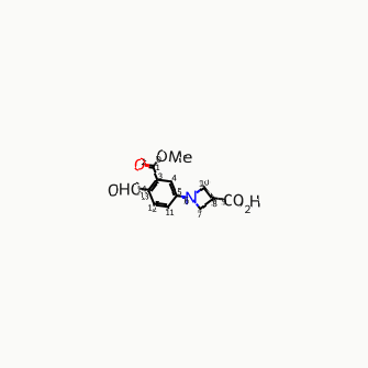 COC(=O)c1cc(N2CC(C(=O)O)C2)ccc1C=O